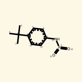 CC(C)(C)c1ccc(NP(=O)=O)cc1